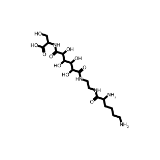 NCCCCC(N)C(=O)NCCNC(=O)C(O)C(O)C(O)C(O)C(=O)NC(CO)C(=O)O